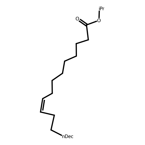 CCCCCCCCCCCC/C=C\CCCCCCCC(=O)OC(C)C